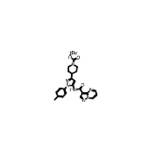 Cc1ccc(-n2nc(C3CCN(C(=O)OC(C)(C)C)CC3)cc2NC(=O)c2cnn3cccnc23)cc1